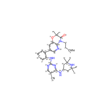 COCCN1C(=O)C(C)(C)Oc2cc(-c3ccccc3Nc3ncc(C#N)c(NC4CC(C)(C)NC(C)(C)C4)n3)cnc21